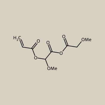 C=CC(=O)OC(OC)C(=O)OC(=O)COC